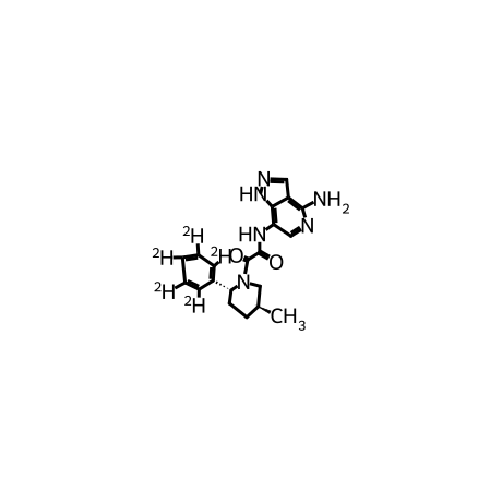 [2H]c1c([2H])c([2H])c([C@H]2CC[C@H](C)CN2C(=O)C(=O)Nc2cnc(N)c3cn[nH]c23)c([2H])c1[2H]